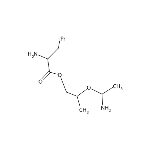 CC(C)CC(N)C(=O)OCC(C)OC(C)N